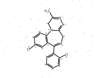 CC1=NN=C2CN=C(c3ccccc3Cl)c3cc(Cl)ccc3N2C1